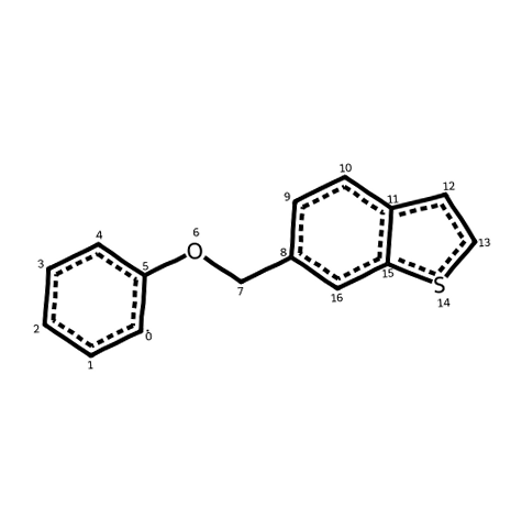 [c]1ccccc1OCc1ccc2ccsc2c1